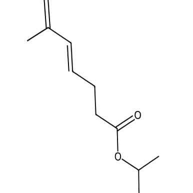 C=C(C)C=CCCC(=O)OC(C)C